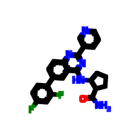 NC(=O)C1CCCC1Nc1nc(-c2cccnc2)nc2ccc(-c3ccc(F)cc3F)cc12